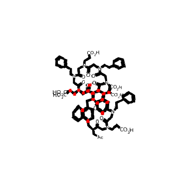 CC(=O)CC(CCc1ccccc1)C(=O)CN(CCC(=O)O)C(=O)CN(CCc1ccccc1)C(=O)CN(CCC(=O)O)C(=O)CN(CCc1ccccc1)C(=O)CN(CCC(=O)O)C(=O)CN(CCc1ccccc1)C(=O)CN(CCC(=O)O)C(=O)CN(CCc1ccccc1)C(=O)CN(CCC(=O)O)C(=O)CN(CCc1ccccc1)C(=O)CNCCC(=O)O